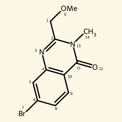 COCc1nc2cc(Br)ccc2c(=O)n1C